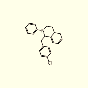 Clc1ccc(CC2C3=CC=CCC3CCN2c2ccccc2)cc1